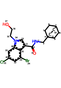 O=C(NCC12CCC(CC1)CC2)c1cn(CCO)c2cc(Cl)cc(Br)c12